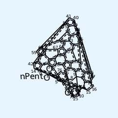 CCCCCOC(=O)c1ccc(CC23c4c5c6c7c8c9c%10c%11c(c2c2c%12c3c3c%13c4c6c4c6c%13c%13c3c3c%12c%12c%14c2c%11c2c%11c%10c%10c8c8c7c4c4c6c6c%13c7c3c%12c3c(c%142)c2c%11c%10c%10c8c4c4c%10c2c3c7c64)C59N2CCOCC2)cc1